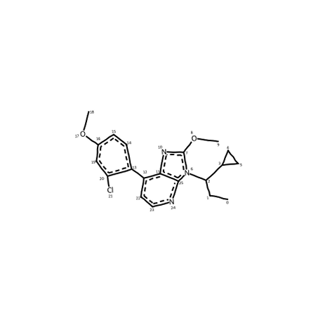 CCC(C1CC1)n1c(OC)nc2c(-c3ccc(OC)cc3Cl)ccnc21